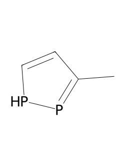 Cc1cc[pH]p1